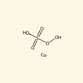 O=S(=O)(O)OO.[Co]